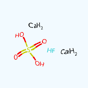 F.O=S(=O)(O)O.[CaH2].[CaH2]